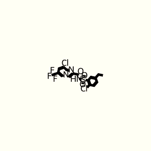 CCc1ccc(Cl)c(S(=O)(=O)NC(=O)c2cn3cc(C(F)(F)F)cc(Cl)c3n2)c1